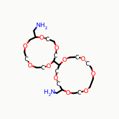 NCC1COCCOCCOC(C2COCC(CN)OCCOCCOCCOCCO2)COCCO1